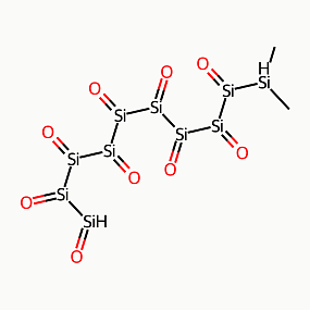 C[SiH](C)[Si](=O)[Si](=O)[Si](=O)[Si](=O)[Si](=O)[Si](=O)[Si](=O)[Si](=O)[SiH]=O